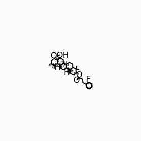 C[C@H]1[C@H](C)CC[C@]2(C(=O)O)CC[C@]3(C)C(=CC[C@@H]4[C@@]5(C)CC[C@H](OC(=O)CCc6ccccc6F)C(C)(C)C5CC[C@]43C)[C@H]12